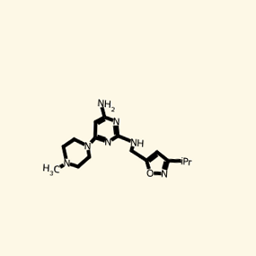 CC(C)c1cc(CNc2nc(N)cc(N3CCN(C)CC3)n2)on1